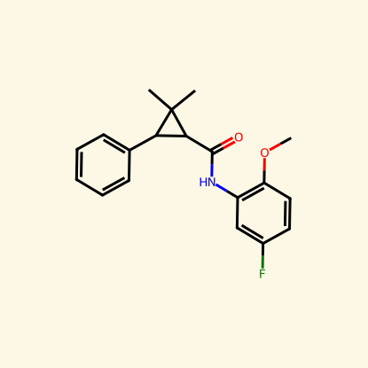 COc1ccc(F)cc1NC(=O)C1C(c2ccccc2)C1(C)C